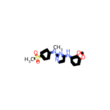 CN(c1ccc(S(C)(=O)=O)cc1)c1nccc(Nc2cccc3c2OCO3)n1